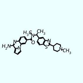 CC(c1ccc2sc(C3CCN(C)CC3)nc2c1)N(C)C(=O)c1ccc2nc(N)c3cccn3c2c1